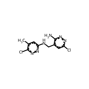 Cc1cc(NCc2cc(Cl)nnc2N)nnc1Cl